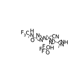 Cc1n[nH]cc1-c1cnn(C2(CC#N)CN(c3cnc(C(=O)NC(C)C(F)(F)F)cn3)C2)c1.O=C(O)C(F)(F)F